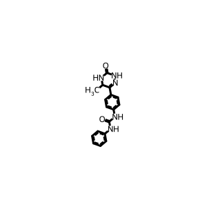 CC1NC(=O)NN=C1c1ccc(NC(=O)Nc2ccccc2)cc1